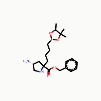 CC1OB(CCCCC2(C(=O)OCc3ccccc3)C[C@@H](N)CN2)OC1(C)C